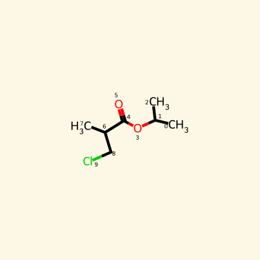 CC(C)OC(=O)C(C)CCl